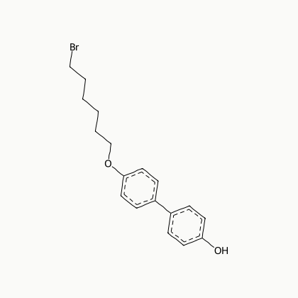 Oc1ccc(-c2ccc(OCCCCCCBr)cc2)cc1